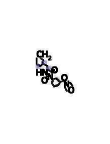 C=C/C=C(\C=C/I)/C=C1\NC(=O)N(c2cccc(C(=O)N3CCOCC3)c2)C1=O